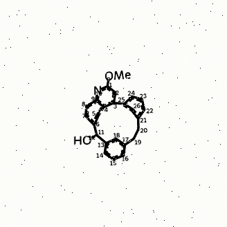 COc1cc2c3cc(ccc3n1)C(O)c1cccc(c1)CCc1cccc-2c1